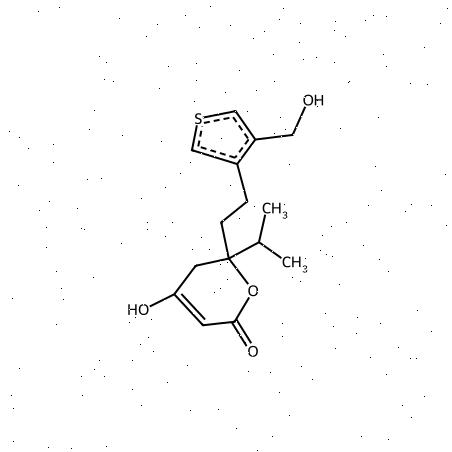 CC(C)C1(CCc2cscc2CO)CC(O)=CC(=O)O1